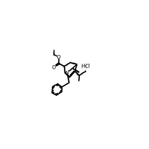 CCOC(=O)C1CC2C(C(C)C)=CC1N(Cc1ccccc1)C2C.Cl